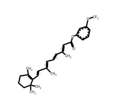 CC1=C(/C=C/C(C)=C/C=C/C(C)=C/C(=O)Oc2cccc(OC(F)(F)F)c2)C(C)(C)CCC1